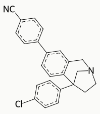 N#Cc1ccc(-c2ccc3c(c2)CN2CCC3(c3ccc(Cl)cc3)C2)cc1